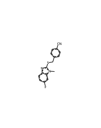 Cn1c(SCc2ccc(C#N)cc2)nc2ccc(F)cc21